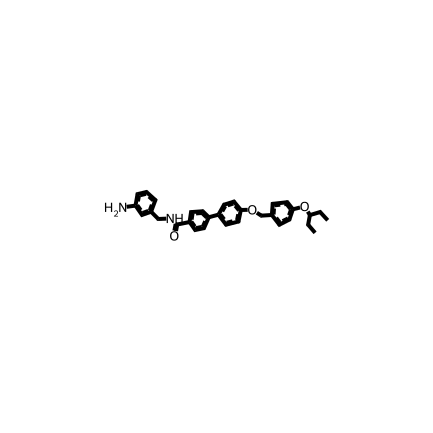 CCC(CC)Oc1ccc(COc2ccc(-c3ccc(C(=O)NCc4cccc(N)c4)cc3)cc2)cc1